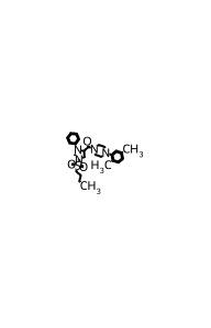 CCCCS(=O)(=O)N1CC(C(=O)N2CCN(c3cc(C)ccc3C)CC2)N(c2ccccc2)C1